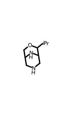 CC(C)C1OCC2CNCC1N2